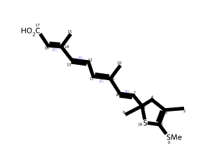 CSC1=C(C)CC(C)(/C=C/C(C)=C/C=C/C(C)=C/C(=O)O)S1